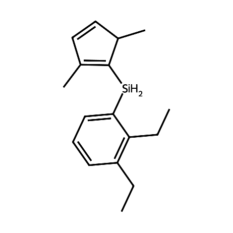 CCc1cccc([SiH2]C2=C(C)C=CC2C)c1CC